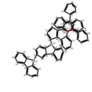 c1ccc(-c2cc(-c3ccccc3)nc(-c3cccc(-n4c5ccccc5c5cc(-n6c7ccccc7c7ccccc76)ccc54)c3-c3ccccc3-n3c4ccccc4c4ccccc43)n2)cc1